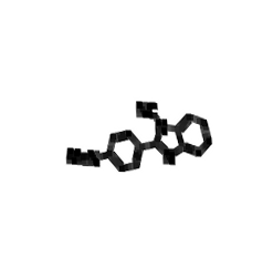 CNc1ccc(-c2nc3ccccc3n2C#N)cc1